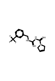 N=C(NCc1cccc(C(F)(F)F)c1)NC(=N)N1CC=CC1